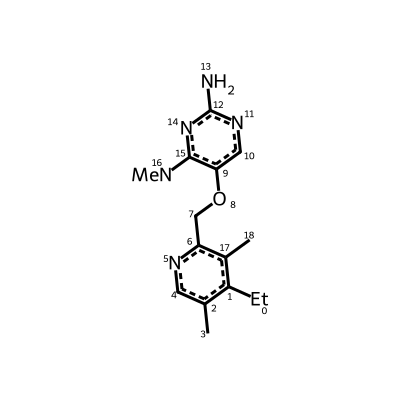 CCc1c(C)cnc(COc2cnc(N)nc2NC)c1C